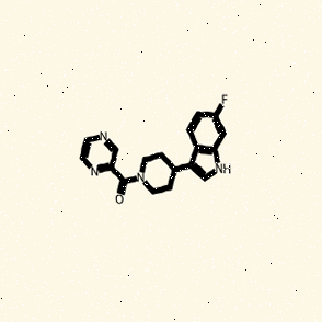 O=C(c1cnccn1)N1CCC(c2c[nH]c3cc(F)ccc23)CC1